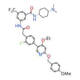 CCOc1cc(OCc2ccc(OC)cc2)ncc1-c1ccc(CC(=O)Nc2cc(C(=O)N[C@H]3CC[C@@H](N(C)C)CC3)cc(C(F)(F)F)c2)c(F)c1